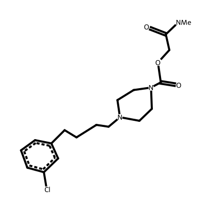 CNC(=O)COC(=O)N1CCN(CCCCc2cccc(Cl)c2)CC1